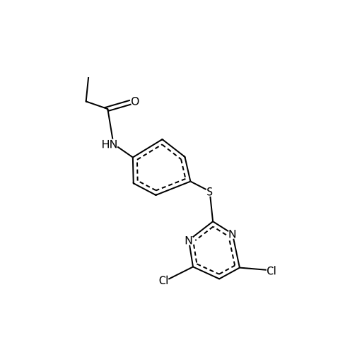 CCC(=O)Nc1ccc(Sc2nc(Cl)cc(Cl)n2)cc1